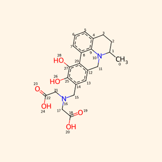 CC1CCc2cccc3c2N1Cc1cc(CN(CC(=O)O)CC(=O)O)c(O)c(O)c1-3